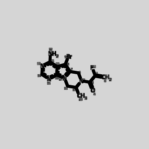 C=C(F)C(=O)N1Cc2c(Br)c3c(N)ncnc3n2CC1C